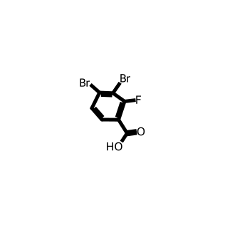 O=C(O)c1ccc(Br)c(Br)c1F